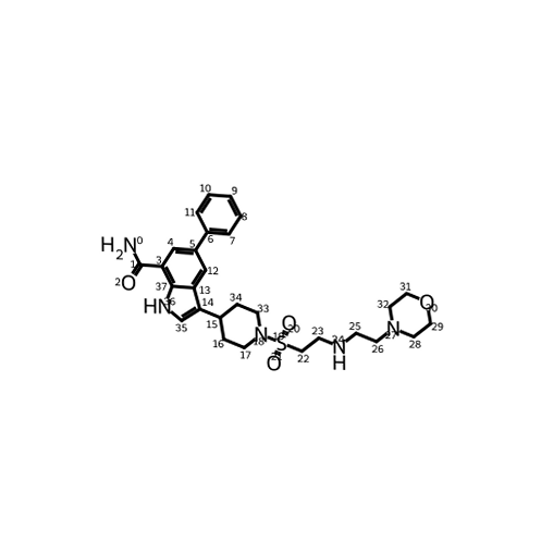 NC(=O)c1cc(-c2ccccc2)cc2c(C3CCN(S(=O)(=O)CCNCCN4CCOCC4)CC3)c[nH]c12